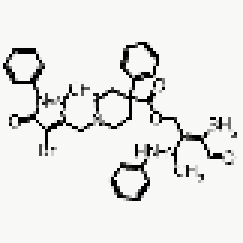 B/C(C=O)=C(\COC(=O)C1(c2ccccc2)CCN(Cc2c(Br)c(=O)n(-c3ccccc3)n2C)CC1)N(C)Nc1ccccc1